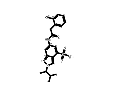 CC(C)C(C)n1cc2c(S(N)(=O)=O)cc(NC(=O)Cc3ccccc3Cl)cc2n1